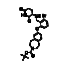 CC(C)(C)OC(=O)N1CCc2ccc(Oc3cccc(Br)c3CNC3CCC(=O)NC3=O)cc2CC1